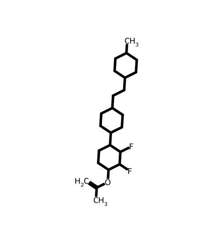 C=C(C)OC1CCC(C2CCC(CCC3CCC(C)CC3)CC2)C(F)C1F